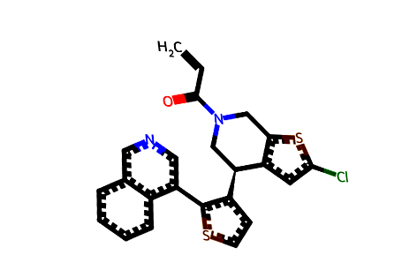 C=CC(=O)N1Cc2sc(Cl)cc2[C@@H](c2ccsc2-c2cncc3ccccc23)C1